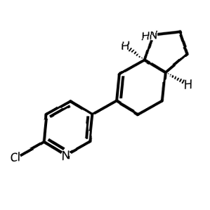 Clc1ccc(C2=C[C@H]3NCC[C@H]3CC2)cn1